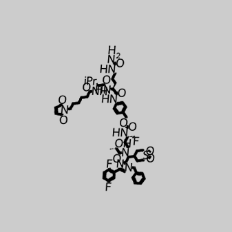 CC(C)[C@H](NC(=O)CCCCCN1C(=O)C=CC1=O)C(=O)N[C@@H](CCCNC(N)=O)C(=O)Nc1ccc(COC(=O)N[C@H](CF)CCN(C(=O)[C@H](C)O)[C@@H](c2nc(-c3cc(F)ccc3F)cn2Cc2ccccc2)C2CCS(=O)(=O)CC2)cc1